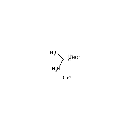 CCN.[Ca+2].[OH-].[OH-]